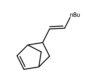 CCCC/C=C/C1CC2C=CC1C2